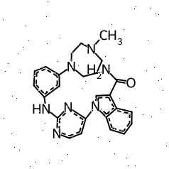 CN1CCCN(c2cccc(Nc3nccc(-n4cc(C(N)=O)c5ccccc54)n3)c2)CC1